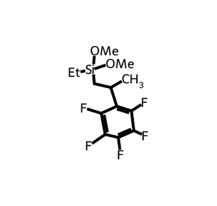 CC[Si](CC(C)c1c(F)c(F)c(F)c(F)c1F)(OC)OC